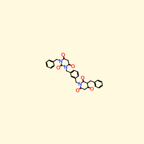 O=C1CC(=O)N(Cc2cccc(CN3C(=O)CC(=O)N(Cc4ccccc4)C3=O)c2)C(=O)C1Cc1ccccc1